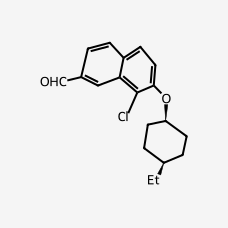 CC[C@H]1CC[C@@H](Oc2ccc3ccc(C=O)cc3c2Cl)CC1